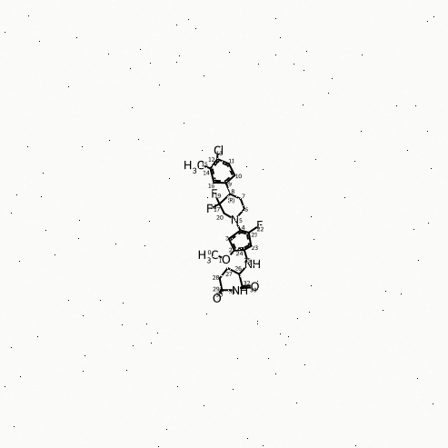 COc1cc(N2CC[C@H](c3ccc(Cl)c(C)c3)C(F)(F)C2)c(F)cc1NC1CCC(=O)NC1=O